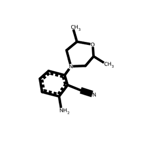 CC1CN(c2cccc(N)c2C#N)CC(C)O1